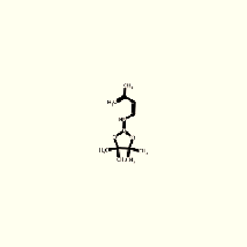 C=C(C)/C=C\NB1OC(C)(C)C(C)(C)O1